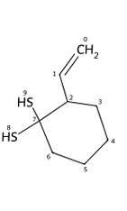 C=CC1CCCCC1(S)S